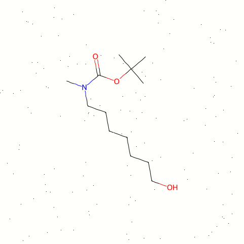 CN(CCCCCCCO)C(=O)OC(C)(C)C